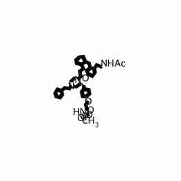 CC(=O)NCCc1ccccc1Cc1ccccc1CCC(=O)N1CCN(CCc2ccccc2)C[C@H]1Cc1ccc(OCC(=O)NS(C)(=O)=O)cc1